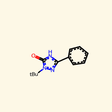 CC(C)(C)n1nc(-c2ccccc2)[nH]c1=O